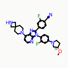 CO[C@H]1CCN(c2ccc(-n3c(-c4ccc(C#N)c(F)c4)nc4c(N5CCC6(CC5)CNC6)ccnc43)c(F)c2)C1